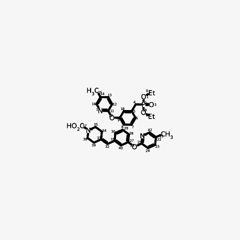 CCOP(=O)(Cc1cccc(Oc2ccc(C)cn2)c1)OCC.Cc1ccc(Oc2cccc(C=C3CCN(C(=O)O)CC3)c2)nc1